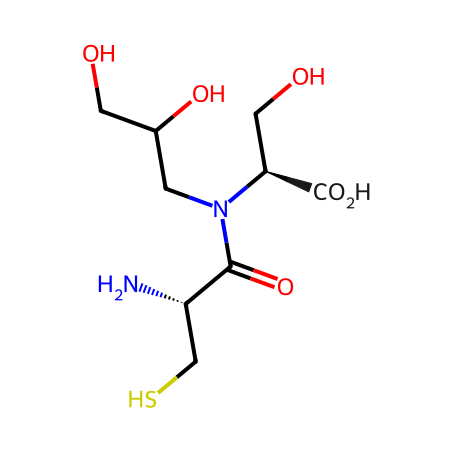 N[C@@H](CS)C(=O)N(CC(O)CO)[C@@H](CO)C(=O)O